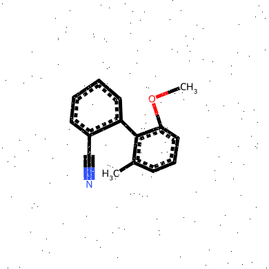 COc1cccc(C)c1-c1ccccc1C#N